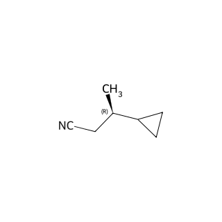 C[C@H](CC#N)C1CC1